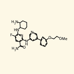 COCCOc1cccc(-c2cncc(Nc3nc(NC4CCCCC4N)c(F)cc3C(N)=O)c2)c1